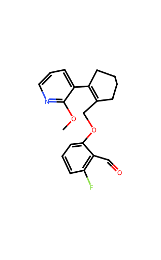 COc1ncccc1C1=C(COc2cccc(F)c2C=O)CCCC1